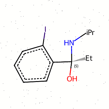 CC[C@@](O)(NC(C)C)c1ccccc1I